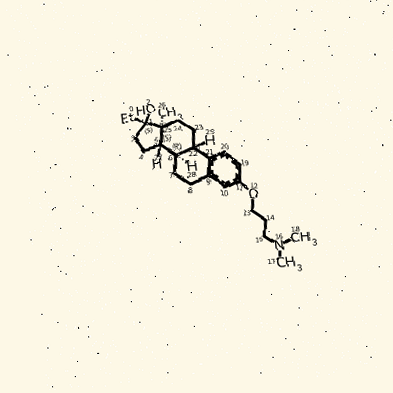 CC[C@]1(O)CC[C@H]2[C@@H]3CCc4cc(OCCCN(C)C)ccc4[C@H]3CC[C@@]21C